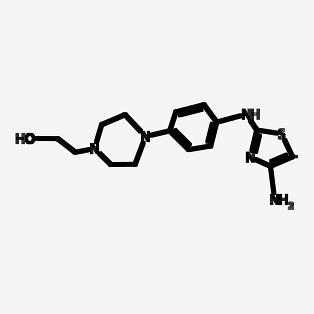 Nc1[c]sc(Nc2ccc(N3CCN(CCO)CC3)cc2)n1